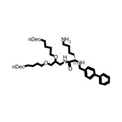 CCCCCCCCCCCCCCOCC(CNC(=O)[C@H](CCCCN)NCc1ccc(-c2ccccc2)cc1)OCCCCCCCCCCCCCC